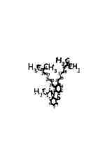 C=CCN1c2ccccc2Sc2ccc(CCCCCC(C)C)c(CCCCCC(C)C)c21